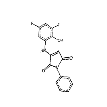 O=C1C=C(Nc2cc(F)cc(F)c2O)C(=O)N1c1ccccc1